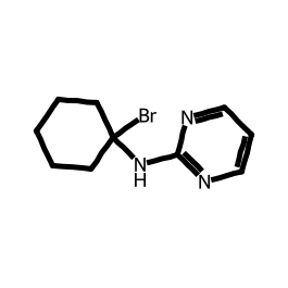 BrC1(Nc2ncccn2)CCCCC1